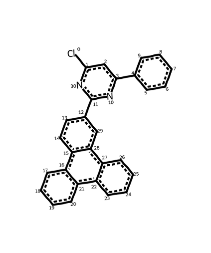 Clc1cc(-c2ccccc2)nc(-c2ccc3c4ccccc4c4ccccc4c3c2)n1